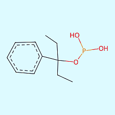 CCC(CC)(OP(O)O)c1ccccc1